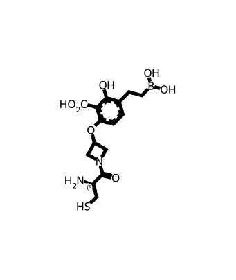 N[C@H](CS)C(=O)N1CC(Oc2ccc(CCB(O)O)c(O)c2C(=O)O)C1